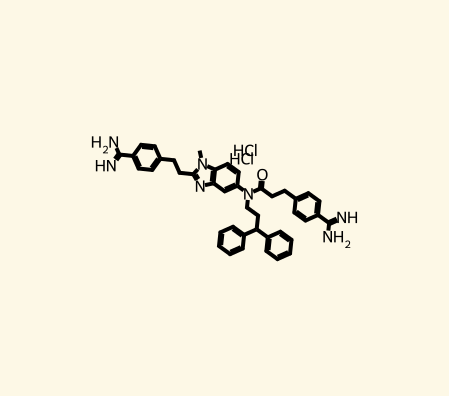 Cl.Cl.Cn1c(CCc2ccc(C(=N)N)cc2)nc2cc(N(CCC(c3ccccc3)c3ccccc3)C(=O)CCc3ccc(C(=N)N)cc3)ccc21